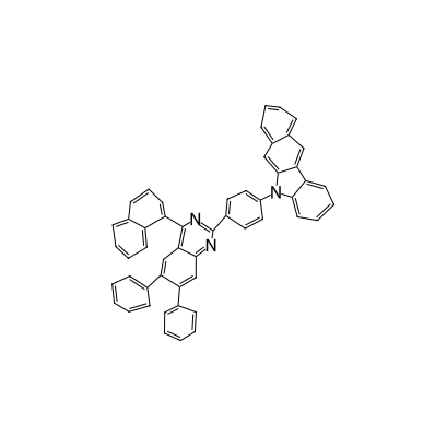 c1ccc(-c2cc3nc(-c4ccc(-n5c6ccccc6c6cc7ccccc7cc65)cc4)nc(-c4cccc5ccccc45)c3cc2-c2ccccc2)cc1